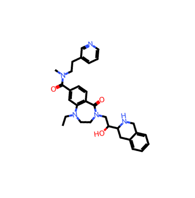 CCN1CCN(CC(O)C2Cc3ccccc3CN2)C(=O)c2ccc(C(=O)N(C)CCc3cccnc3)cc21